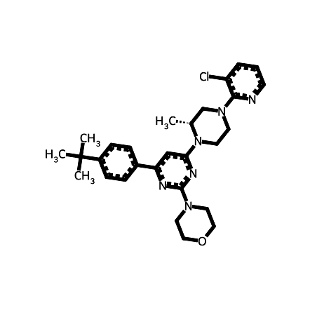 C[C@@H]1CN(c2ncccc2Cl)CCN1c1cc(-c2ccc(C(C)(C)C)cc2)nc(N2CCOCC2)n1